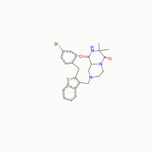 CC1(C)NC(=O)C2CN(Cc3c(Cc4ccc(Br)cc4)sc4ccccc34)CCN2C1=O